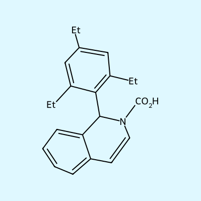 CCc1cc(CC)c(C2c3ccccc3C=CN2C(=O)O)c(CC)c1